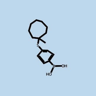 CC1(Sc2ccc(B(O)O)cc2)CCCCCCC1